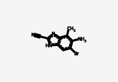 Cc1c(N)c(Br)cc2[nH]c(C#N)nc12